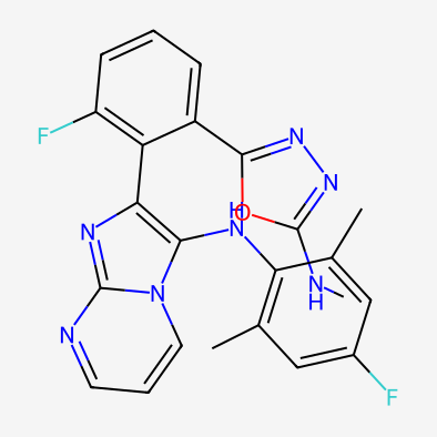 CNc1nnc(-c2cccc(F)c2-c2nc3ncccn3c2Nc2c(C)cc(F)cc2C)o1